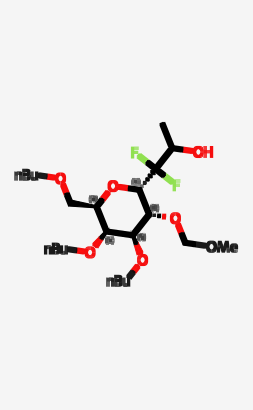 CCCCOC[C@H]1O[C@H](C(F)(F)C(C)O)[C@H](OCOC)[C@@H](OCCCC)[C@H]1OCCCC